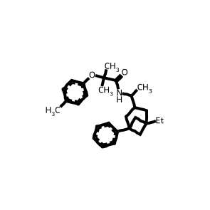 CCC12CC(C(C)NC(=O)C(C)(C)Oc3ccc(C)cc3)CC(c3ccccc3)(C1)C2